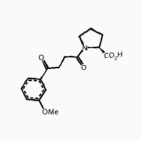 COc1cccc(C(=O)CCC(=O)N2CCC[C@H]2C(=O)O)c1